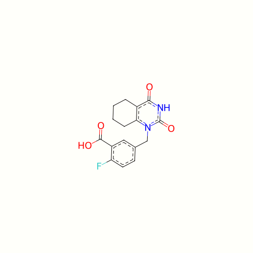 O=C(O)c1cc(Cn2c3c(c(=O)[nH]c2=O)CCCC3)ccc1F